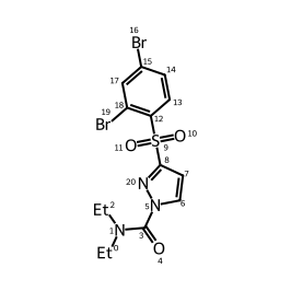 CCN(CC)C(=O)n1ccc(S(=O)(=O)c2ccc(Br)cc2Br)n1